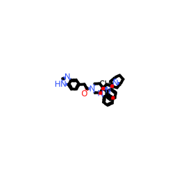 Cc1nc2ccccc2n1C1CC2CCC(C1)N2CCC1(c2ccccc2)CCN(C(=O)Cc2ccc3[nH]cnc3c2)CC1